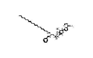 CCCCCCCCCCCCCCCCCCOC[C@H](COP(=O)(O)OC1[C@H]2O[C@@](C)(c3ccc4c(N)ncnn34)[C@H](O)[C@@]12O)SCc1ccccc1